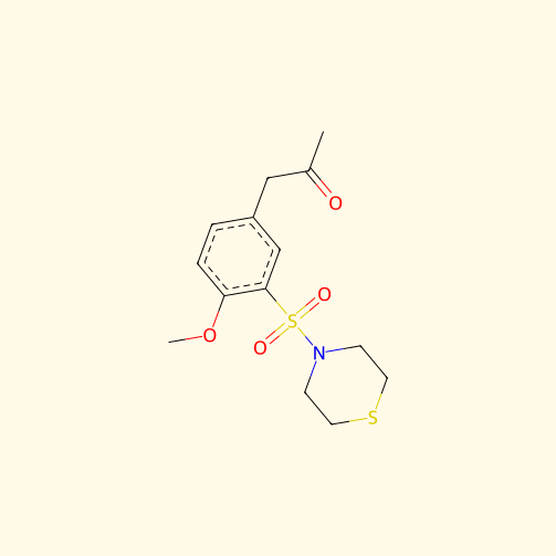 COc1ccc(CC(C)=O)cc1S(=O)(=O)N1CCSCC1